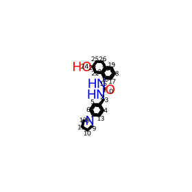 O=C(NCc1ccc(N2CCCC2)cc1)Nc1cccc2c1CC(O)CC2